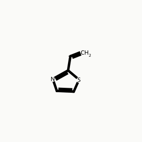 C=[C]c1nccs1